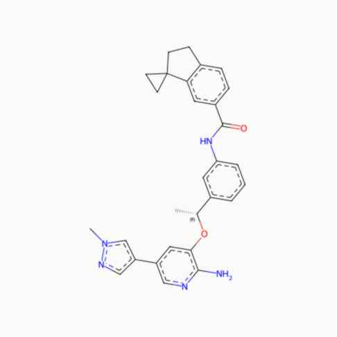 C[C@@H](Oc1cc(-c2cnn(C)c2)cnc1N)c1cccc(NC(=O)c2ccc3c(c2)C2(CC3)CC2)c1